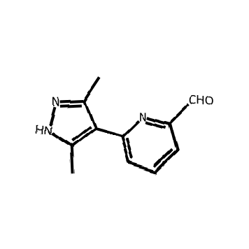 Cc1n[nH]c(C)c1-c1cccc(C=O)n1